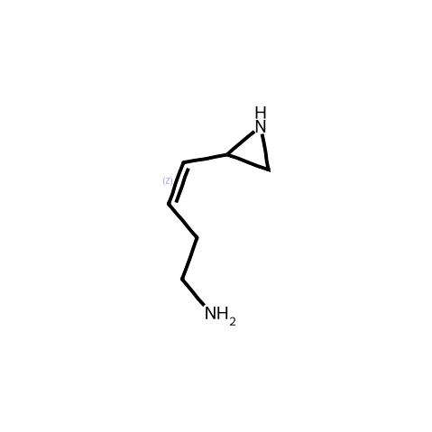 NCC/C=C\C1CN1